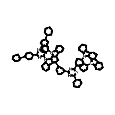 c1ccc(-c2ccc(-c3nc(-c4ccc(-c5ccccc5)cc4)nc(-n4c5ccccc5c5c(-c6cccc(-c7nc(-c8ccccc8)nc(-c8ccc(-n9c%10ccccc%10c%10ccc%11c%12ccccc%12n(-c%12ccccc%12)c%11c%109)cc8)n7)c6)cc6c7ccccc7n(-c7ccccc7)c6c54)n3)cc2)cc1